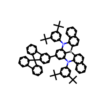 CC(C)(C)c1cc(N2c3cc(-c4ccc5c(c4)-c4ccccc4C54c5ccccc5-c5ccccc54)cc4c3B(c3ccc5ccccc5c32)c2ccc3ccccc3c2N4c2cc(C(C)(C)C)cc(C(C)(C)C)c2)cc(C(C)(C)C)c1